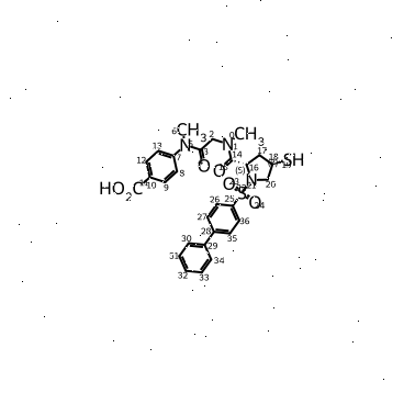 CN(CC(=O)N(C)c1ccc(C(=O)O)cc1)C(=O)[C@@H]1C[C@@H](S)CN1S(=O)(=O)c1ccc(-c2ccccc2)cc1